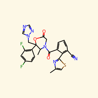 Cc1csc(-c2c(C#N)cccc2C(=O)N2CC(=O)OC(Cn3cncn3)(c3ccc(F)cc3F)C2C)n1